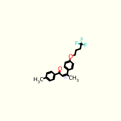 C/C(=C/C(=O)c1ccc(C)cc1)c1ccc(OCCCC(F)(F)F)cc1